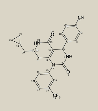 N#Cc1ccc(C2NC(=O)N(c3cccc(C(F)(F)F)c3)C3=C2C(=O)NN(CC2CC2)C3)cc1